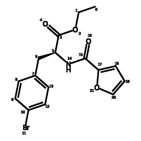 CCOC(=O)[C@H](Cc1ccc(Br)cc1)NC(=O)c1ccco1